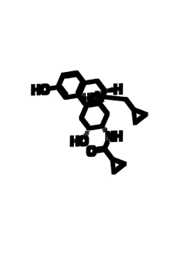 O=C(N[C@H]1C[C@@]2(O)[C@H]3Cc4ccc(O)cc4[C@@]2(CCN3CC2CC2)C[C@H]1O)C1CC1